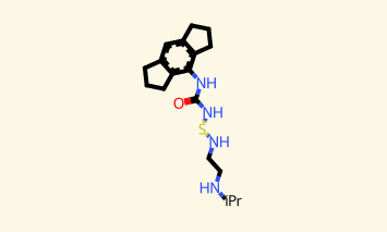 CC(C)NCCNSNC(=O)Nc1c2c(cc3c1CCC3)CCC2